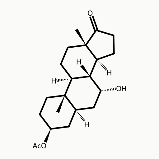 CC(=O)O[C@H]1CC[C@@]2(C)[C@H](C1)C[C@@H](O)[C@@H]1[C@@H]2CC[C@]2(C)C(=O)CC[C@@H]12